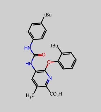 Cc1cc(NC(=O)Nc2ccc(C(C)(C)C)cc2)c(Oc2ccccc2C(C)(C)C)nc1C(=O)O